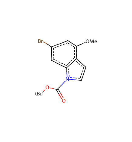 COc1cc(Br)cc2c1ccn2C(=O)OC(C)(C)C